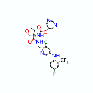 O=C(N[C@@]1(C(=O)NCc2ncc(Nc3ccc(F)cc3C(F)(F)F)cc2Cl)CCOC1)Oc1cncnc1